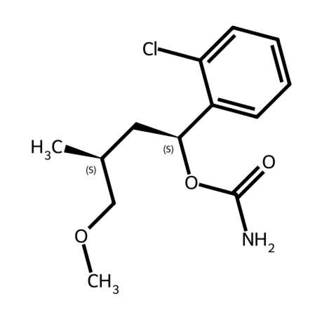 COC[C@@H](C)C[C@H](OC(N)=O)c1ccccc1Cl